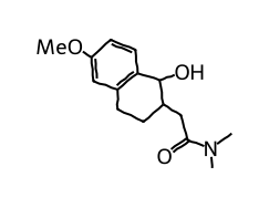 COc1ccc2c(c1)CCC(CC(=O)N(C)C)C2O